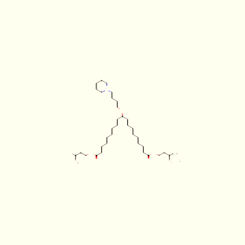 CCCCCC(CCCCC)CCOC(=O)CCCCCCCCC(CCCCCCCCC(=O)OCCC(CCCCC)CCCCC)OCCCCN1CCCCC1